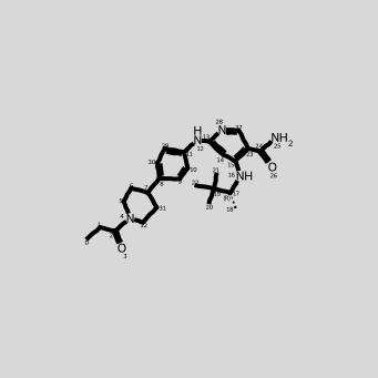 CCC(=O)N1CCC(c2ccc(Nc3cc(N[C@H](C)C(C)(C)C)c(C(N)=O)cn3)cc2)CC1